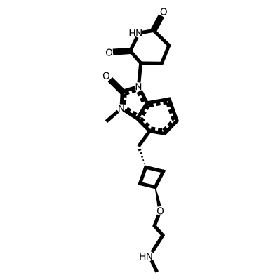 CNCCO[C@H]1C[C@H](Cc2cccc3c2n(C)c(=O)n3C2CCC(=O)NC2=O)C1